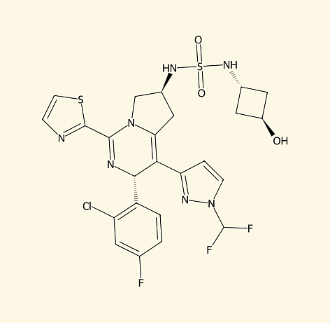 O=S(=O)(N[C@H]1CC2=C(c3ccn(C(F)F)n3)[C@H](c3ccc(F)cc3Cl)N=C(c3nccs3)N2C1)N[C@H]1C[C@H](O)C1